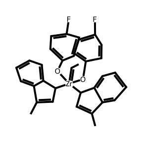 C[CH]=[Zr]([O]c1ccc(F)cc1)([O]c1ccc(F)cc1)([CH]1C=C(C)c2ccccc21)[CH]1C=C(C)c2ccccc21